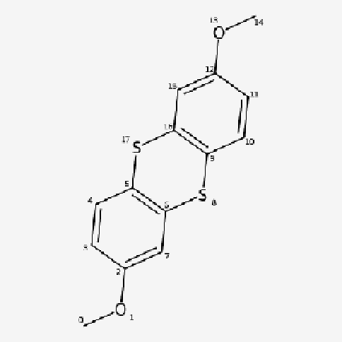 COc1ccc2c(c1)Sc1ccc(OC)cc1S2